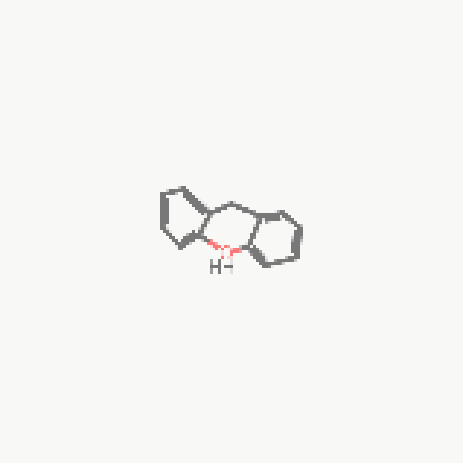 [HH].c1ccc2c(c1)Cc1ccccc1O2